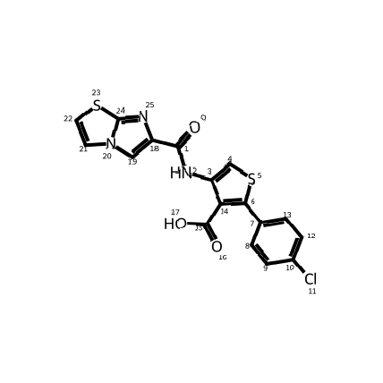 O=C(Nc1csc(-c2ccc(Cl)cc2)c1C(=O)O)c1cn2ccsc2n1